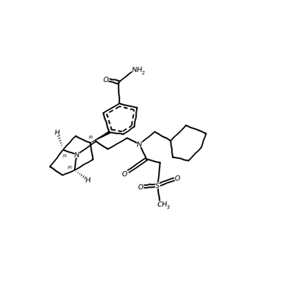 CS(=O)(=O)CC(=O)N(CCCN1[C@@H]2CC[C@H]1C[C@@H](c1cccc(C(N)=O)c1)C2)CC1CCCCC1